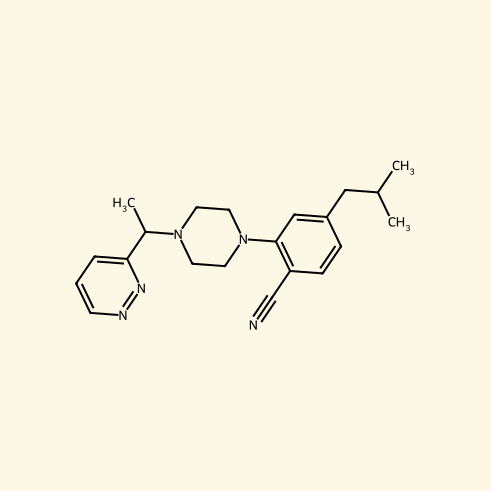 CC(C)Cc1ccc(C#N)c(N2CCN(C(C)c3cccnn3)CC2)c1